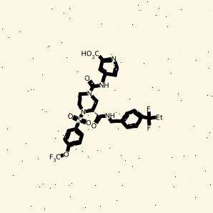 CCC(F)(F)c1ccc(CNC(=O)[C@H]2CN(C(=O)Nc3ccnc(C(=O)O)c3)CCN2S(=O)(=O)c2ccc(OC(F)(F)F)cc2)cc1